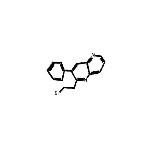 BrCCc1nc2cccnc2cc1-c1ccccc1